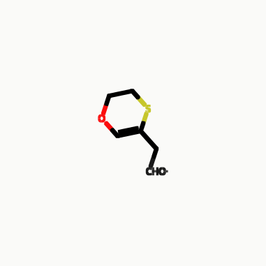 O=[C]CC1=COCCS1